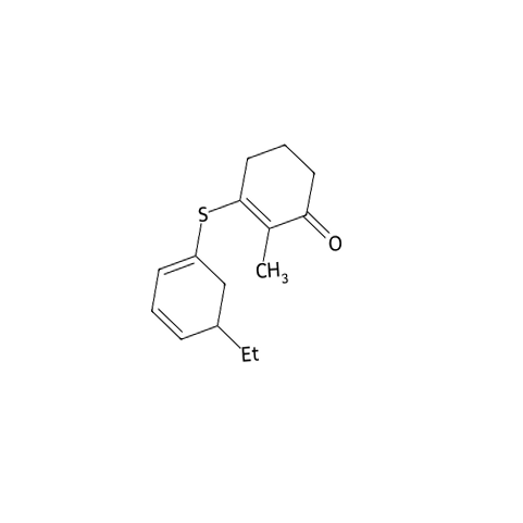 CCC1C=CC=C(SC2=C(C)C(=O)CCC2)C1